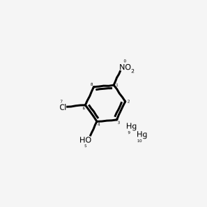 O=[N+]([O-])c1ccc(O)c(Cl)c1.[Hg].[Hg]